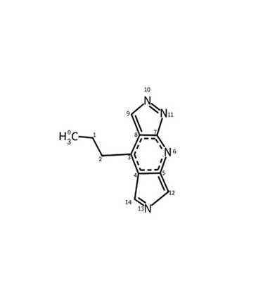 CCCc1c2c(nc3c1=CN=N3)=CN=C2